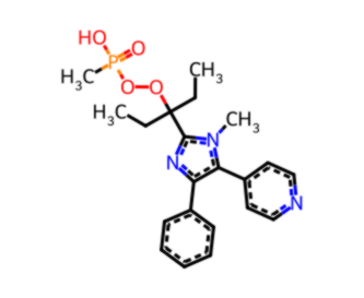 CCC(CC)(OOP(C)(=O)O)c1nc(-c2ccccc2)c(-c2ccncc2)n1C